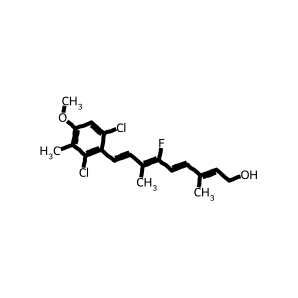 COc1cc(Cl)c(/C=C/C(C)=C(F)/C=C/C(C)=C/CO)c(Cl)c1C